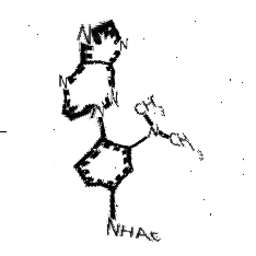 CC(=O)Nc1ccc(-n2cnc3ncnc-3n2)c(N(C)C)c1